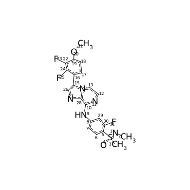 CN=S(C)(=O)c1ccc(Nc2nccn3c(-c4ccc(OC)c(F)c4F)cnc23)cc1F